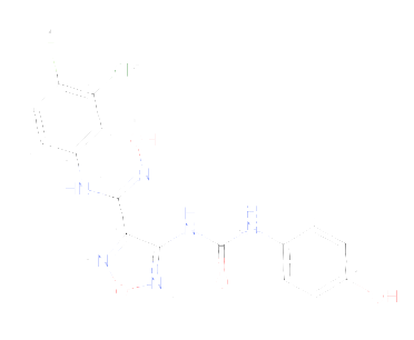 O=C(Nc1ccc(O)cc1)Nc1nonc1/C(=N/O)Nc1ccc(F)c(Cl)c1